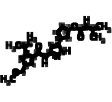 COCc1cc(C(=O)Nc2cc([C@H]3CC[C@@H](OC(=O)NC(C)C)C3)[nH]n2)n(C(C)C)n1